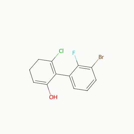 OC1=CCCC(Cl)=C1c1cccc(Br)c1F